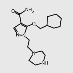 NC(=O)c1cnn(CCN2CCNCC2)c1OCC1CCCCC1